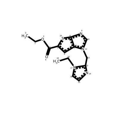 CCOC(=O)c1cc2c(ncn2Cc2nccn2CC)s1